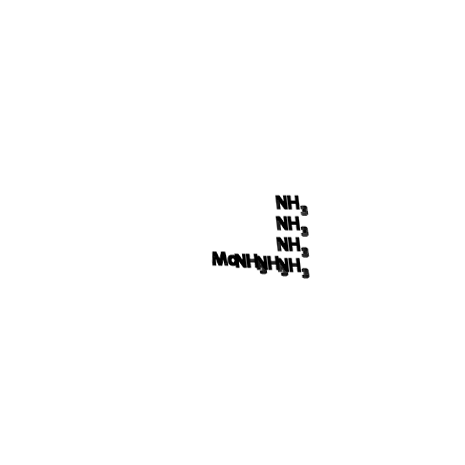 N.N.N.N.N.N.[Mo]